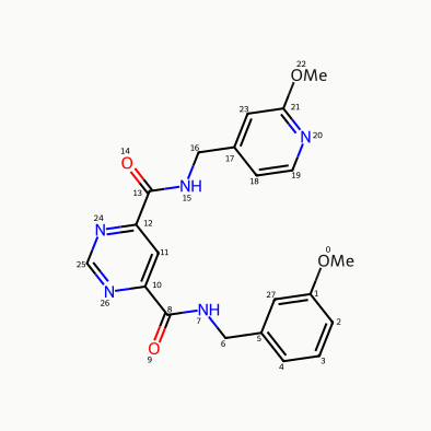 COc1cccc(CNC(=O)c2cc(C(=O)NCc3ccnc(OC)c3)ncn2)c1